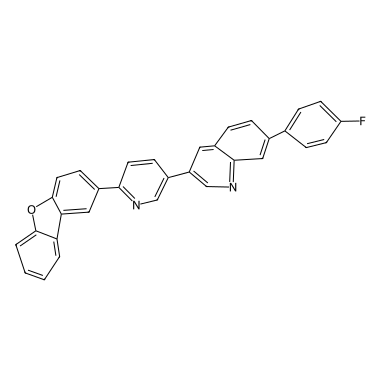 Fc1ccc(-c2ccc3cc(-c4ccc(-c5ccc6oc7ccccc7c6c5)nc4)cnc3c2)cc1